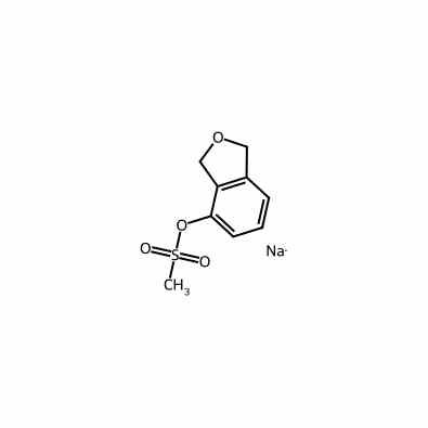 CS(=O)(=O)Oc1cccc2c1COC2.[Na]